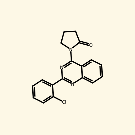 O=C1CCCN1c1nc(-c2ccccc2Cl)nc2ccccc12